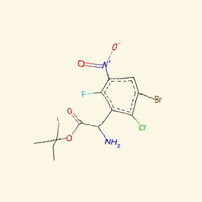 CC(C)(C)OC(=O)C(N)c1c(F)c([N+](=O)[O-])cc(Br)c1Cl